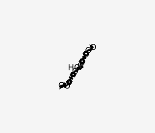 CCC(C)(Oc1ccc(C(C)(C)c2ccc(OCC(O)CC(C)Oc3ccc(C(C)(C)c4ccc(OCC5CO5)cc4)cc3)cc2)cc1)C1CO1